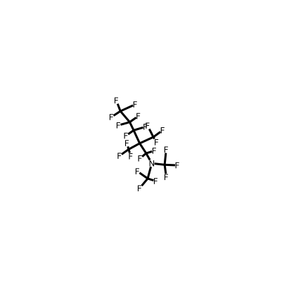 FC(F)(F)N(C(F)(F)F)C(F)(F)C(C(F)(F)F)(C(F)(F)F)C(F)(F)C(F)(F)C(F)(F)F